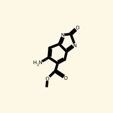 COC(=O)c1cc2c(cc1N)=NC(=O)N=2